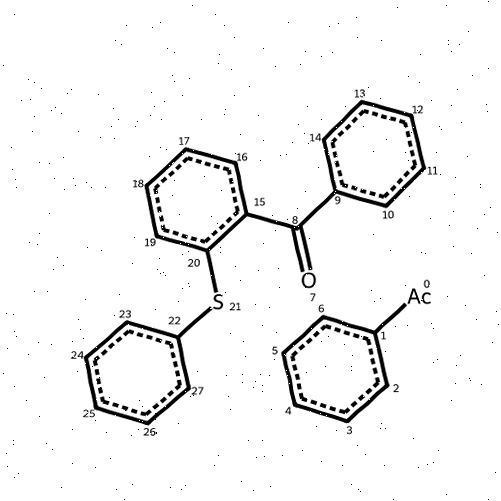 CC(=O)c1ccccc1.O=C(c1ccccc1)c1ccccc1Sc1ccccc1